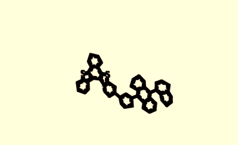 c1cc(-c2ccc3c(c2)sc2c4ccccc4c4sc5ccccc5c4c32)cc(-c2c3ccccc3c(-c3cccc4ccccc34)c3ccccc23)c1